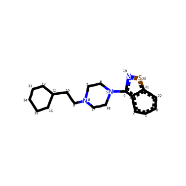 c1ccc2c(N3CCN(CCC4CCCCC4)CC3)nsc2c1